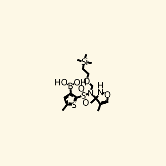 CC1=CONC1(C)N(COCC[Si](C)(C)C)S(=O)(=O)c1sc(C)cc1B(O)O